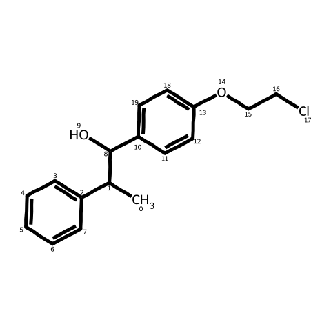 CC(c1ccccc1)C(O)c1ccc(OCCCl)cc1